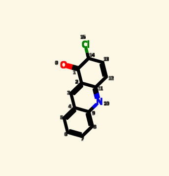 O=C1c2cc3ccccc3nc2C=CC1Cl